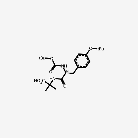 CC(C)(C)OC(=O)N[C@@H](Cc1ccc(OC(C)(C)C)cc1)C(=O)NC(C)(C)C(=O)O